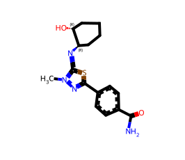 Cn1nc(-c2ccc(C(N)=O)cc2)sc1=N[C@@H]1CCCC[C@H]1O